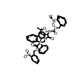 CC(=O)CC1C(NC(=O)OCc2ccccc2[N+](=O)[O-])C(=O)N1CP(C(=O)OCc1ccccc1[N+](=O)[O-])(c1ccccc1)(c1ccccc1)c1ccccc1